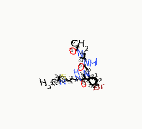 C=CC(=O)N1CC(NC(=O)Cn2cc(C(=O)NCCCc3nc(C)cs3)c3cc(Br)ccc32)C1